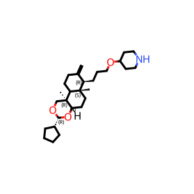 C=C1CCC2[C@]3(C)CO[C@@H](C4CCCC4)O[C@@H]3CC[C@@]2(C)[C@@H]1CCCOC1CCNCC1